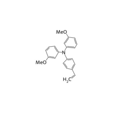 C=Cc1ccc(N(c2cccc(OC)c2)c2cccc(OC)c2)cc1